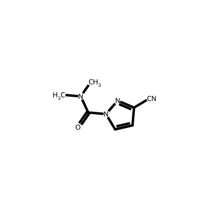 CN(C)C(=O)n1ccc(C#N)n1